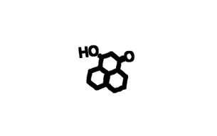 O=C1CC(O)C2CCCC3=C2C1CCC3